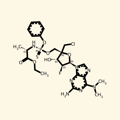 CCOC(=O)[C@H](C)N[P@@](=S)(OC[C@@]1(CCl)O[C@@H](n2cnc3c(N(C)C)nc(N)nc32)[C@@H](F)[C@@H]1O)Oc1ccccc1